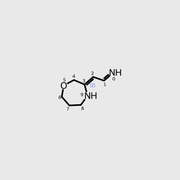 N=C/C=C1/COCCCN1